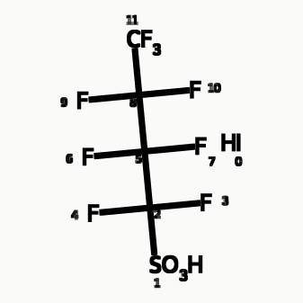 I.O=S(=O)(O)C(F)(F)C(F)(F)C(F)(F)C(F)(F)F